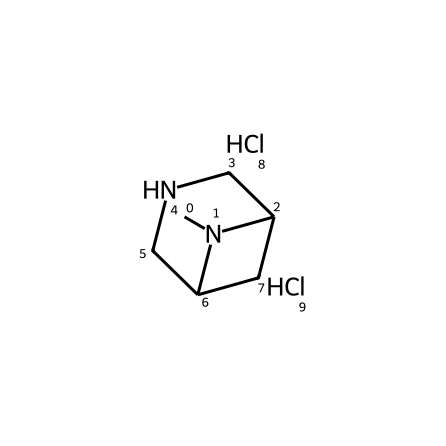 CN1C2CNCC1C2.Cl.Cl